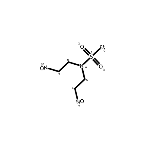 CCS(=O)(=O)N(CCN=O)CCN=O